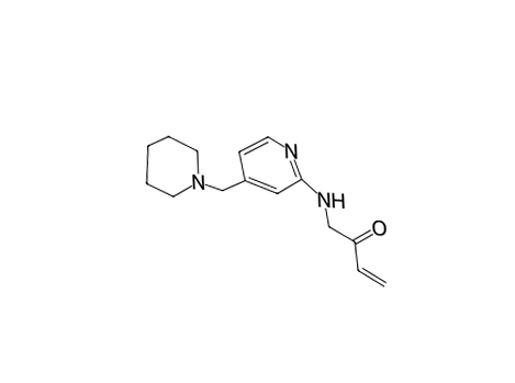 C=CC(=O)CNc1cc(CN2CCCCC2)ccn1